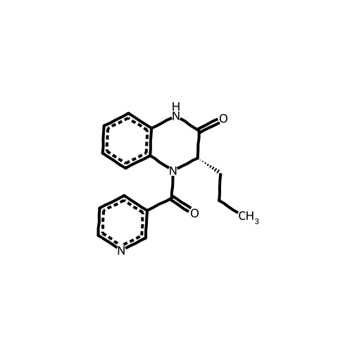 CCC[C@H]1C(=O)Nc2ccccc2N1C(=O)c1cccnc1